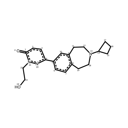 O=c1ccc(-c2ccc3c(c2)CCN(C2CCC2)CC3)nn1CCO